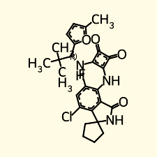 Cc1ccc([C@H](Nc2c(Nc3c(F)cc(Cl)c4c3C(=O)NC43CCCC3)c(=O)c2=O)C(C)(C)C)o1